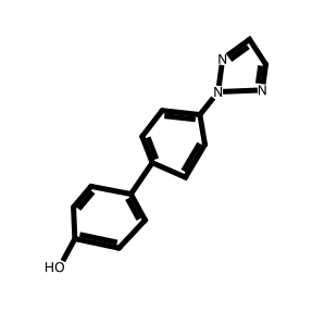 Oc1ccc(-c2ccc(-n3nccn3)cc2)cc1